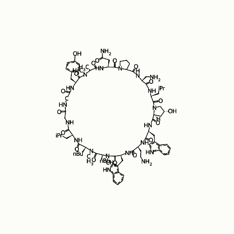 CCCC[C@H]1C(=O)N(C)[C@@H](CCCC)C(=O)N[C@@H](CC(C)C)C(=O)NCC(=O)NCC(=O)N[C@@H](Cc2ccc(O)cc2)C(=O)N(C)[C@@H](C)C(=O)N[C@@H](CC(N)=O)C(=O)N2CCCC2C(=O)N[C@@H](CN)C(=O)N[C@@H](CC(C)C)C(=O)N2C[C@H](O)C[C@H]2C(=O)N[C@@H](Cc2c[nH]c3ccccc23)C(=O)N[C@@H](CCN)C(=O)N[C@@H](Cc2c[nH]c3ccccc23)C(=O)N1C